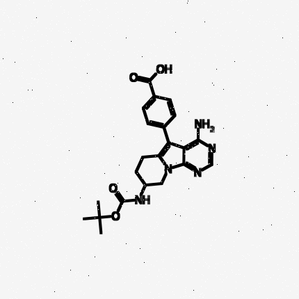 CC(C)(C)OC(=O)NC1CCc2c(-c3ccc(C(=O)O)cc3)c3c(N)ncnc3n2C1